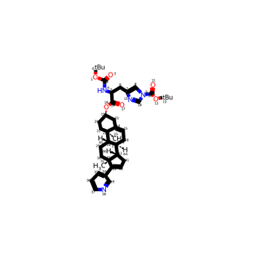 CC(C)(C)OC(=O)NC(Cc1cn(C(=O)OC(C)(C)C)cn1)C(=O)O[C@H]1CC[C@@]2(C)C(=CC[C@@H]3[C@@H]2CC[C@]2(C)C(c4cccnc4)=CC[C@@H]32)C1